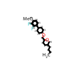 C=CCCC1CCC(COC2CCC(c3ccc(OC)c(F)c3F)CC2)OC1